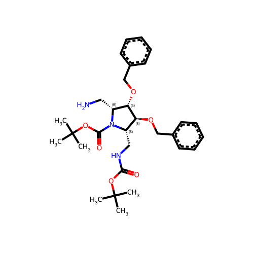 CC(C)(C)OC(=O)NC[C@H]1[C@H](OCc2ccccc2)[C@@H](OCc2ccccc2)[C@@H](CN)N1C(=O)OC(C)(C)C